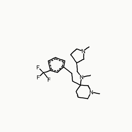 CN1CCC(CN(C)C2(CCc3cccc(C(F)(F)F)c3)CCCN(C)C2)C1